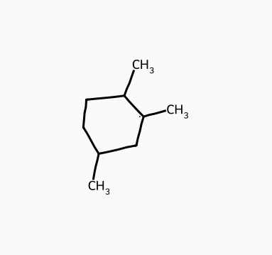 C[C]1CC(C)CCC1C